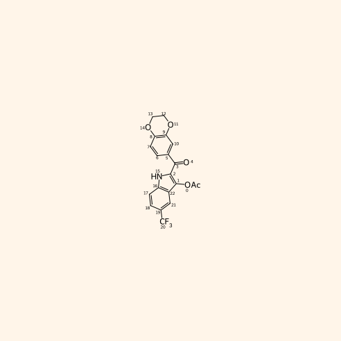 CC(=O)Oc1c(C(=O)c2ccc3c(c2)OCCO3)[nH]c2ccc(C(F)(F)F)cc12